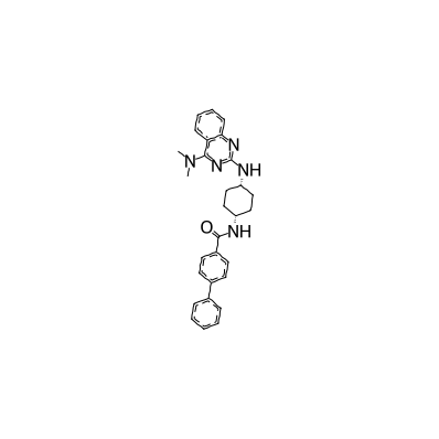 CN(C)c1nc(N[C@H]2CC[C@@H](NC(=O)c3ccc(-c4ccccc4)cc3)CC2)nc2ccccc12